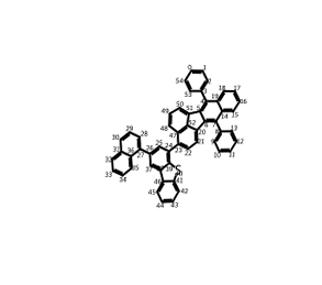 c1ccc(-c2c3c(c(-c4ccccc4)c4ccccc24)-c2ccc(-c4cc(-c5cccc6ccccc56)cc5c4sc4ccccc45)c4cccc-3c24)cc1